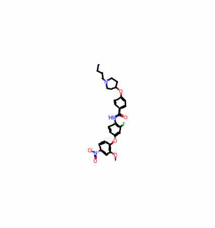 CCCCN1CCC(Oc2ccc(C(=O)Nc3ccc(Oc4ccc([N+](=O)[O-])cc4OC)cc3F)cc2)CC1